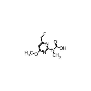 COc1cc(CF)nc(N(C)C(=O)O)n1